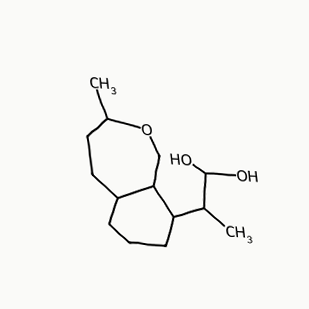 CC1CCC2CCCC(C(C)C(O)O)C2CO1